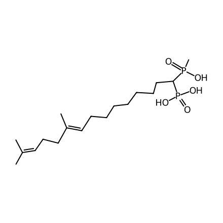 CC(C)=CCC/C(C)=C/CCCCCCCC(P(C)(=O)O)P(=O)(O)O